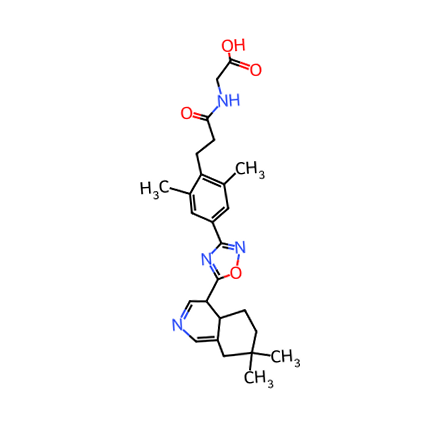 Cc1cc(-c2noc(C3C=NC=C4CC(C)(C)CCC43)n2)cc(C)c1CCC(=O)NCC(=O)O